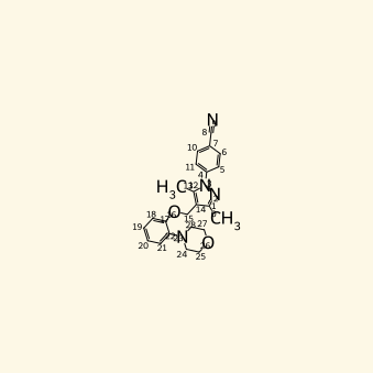 Cc1nn(-c2ccc(C#N)cc2)c(C)c1COc1ccccc1N1CCOCC1